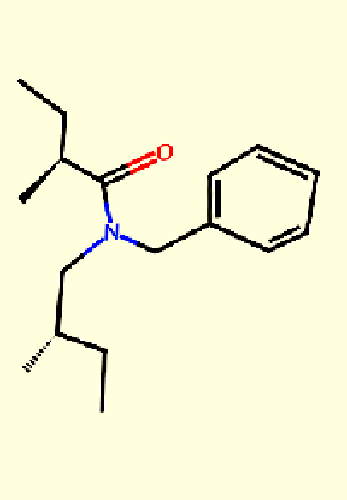 CC[C@H](C)CN(Cc1ccccc1)C(=O)[C@@H](C)CC